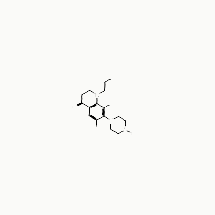 CN1CCN(c2c(F)cc3c(c2F)N(CCF)CCC3=O)CC1